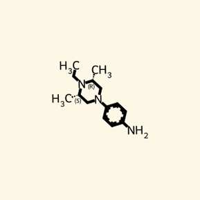 CCN1[C@H](C)CN(c2ccc(N)cc2)C[C@@H]1C